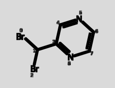 BrC(Br)c1cnccn1